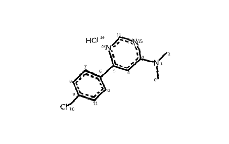 CN(C)c1cc(-c2ccc(Cl)cc2)ncn1.Cl